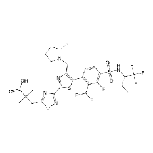 CC[C@H](NS(=O)(=O)c1ccc(-c2sc(-c3noc(CC(C)(C)C(=O)O)n3)nc2CN2CCC[C@@H]2C)c(C(F)F)c1F)C(F)(F)F